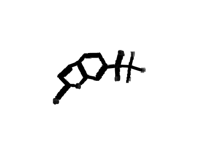 O=c1ccc2ccc(S(=O)(=O)C(F)(F)F)cc2o1